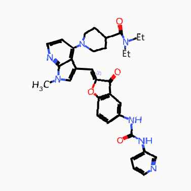 CCN(CC)C(=O)C1CCN(c2ccnc3c2c(/C=C2\Oc4ccc(NC(=O)Nc5cccnc5)cc4C2=O)cn3C)CC1